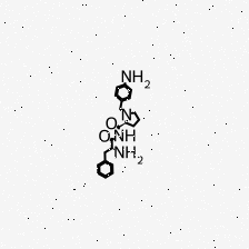 Nc1ccc(CN2CCC[C@H]2C(=O)NC(=O)[C@H](N)Cc2ccccc2)cc1